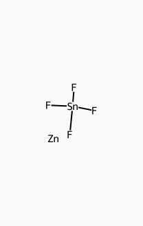 [F][Sn]([F])([F])[F].[Zn]